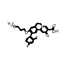 COCCCOc1cc2c(cc1-c1ccc(F)cc1F)-c1cc(=O)c(C(=O)O)cn1CC2